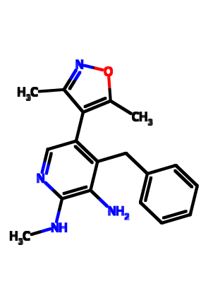 CNc1ncc(-c2c(C)noc2C)c(Cc2ccccc2)c1N